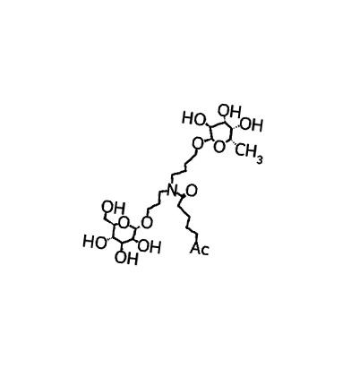 CC(=O)CCCCC(=O)N(CCCCO[C@@H]1O[C@@H](C)[C@@H](O)[C@@H](O)[C@@H]1O)CCCO[C@H]1O[C@H](CO)[C@@H](O)[C@H](O)[C@@H]1O